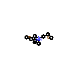 c1ccc(-c2nc(-c3ccc(-c4cccc5c4sc4ccccc45)cc3)nc(-c3cccc4c3C3(c5ccc6c(sc7ccccc76)c5-4)C4CC5CC(C4)CC3C5)n2)cc1